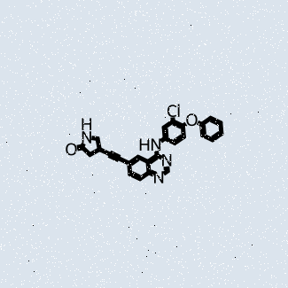 O=C1CC(C#Cc2ccc3ncnc(Nc4ccc(Oc5ccccc5)c(Cl)c4)c3c2)CN1